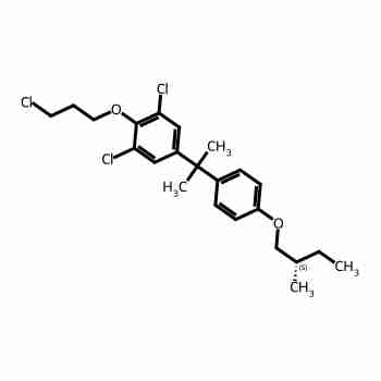 CC[C@H](C)COc1ccc(C(C)(C)c2cc(Cl)c(OCCCCl)c(Cl)c2)cc1